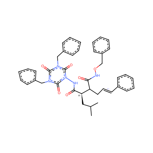 CC(C)C[C@@H](C(=O)Nn1c(=O)n(Cc2ccccc2)c(=O)n(Cc2ccccc2)c1=O)C(C/C=C/c1ccccc1)C(=O)NOCc1ccccc1